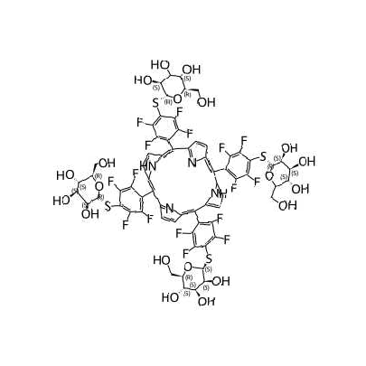 OCC1O[C@H](Sc2c(F)c(F)c(-c3c4nc(c(-c5c(F)c(F)c(S[C@H]6O[C@H](CO)[C@@H](O)C(O)[C@@H]6O)c(F)c5F)c5ccc([nH]5)c(-c5c(F)c(F)c(S[C@H]6O[C@H](CO)[C@@H](O)[C@H](O)[C@@H]6O)c(F)c5F)c5nc(c(-c6c(F)c(F)c(S[C@@H]7O[C@H](CO)[C@@H](O)[C@H](O)[C@@H]7O)c(F)c6F)c6ccc3[nH]6)C=C5)C=C4)c(F)c2F)[C@@H](O)[C@@H](O)[C@@H]1O